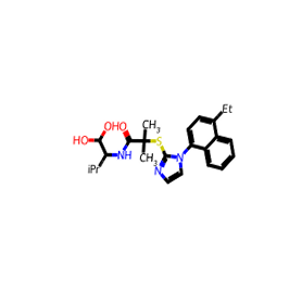 CCc1ccc(-n2ccnc2SC(C)(C)C(=O)NC(C(C)C)C(O)O)c2ccccc12